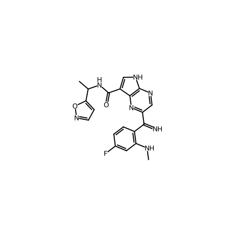 CNc1cc(F)ccc1C(=N)c1cnc2[nH]cc(C(=O)NC(C)c3ccno3)c2n1